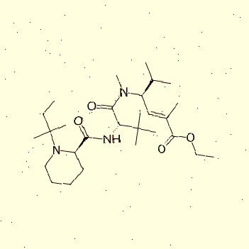 CCOC(=O)/C(C)=C/[C@H](C(C)C)N(C)C(=O)[C@@H](NC(=O)[C@H]1CCCCN1C(C)(C)CC)C(C)(C)C